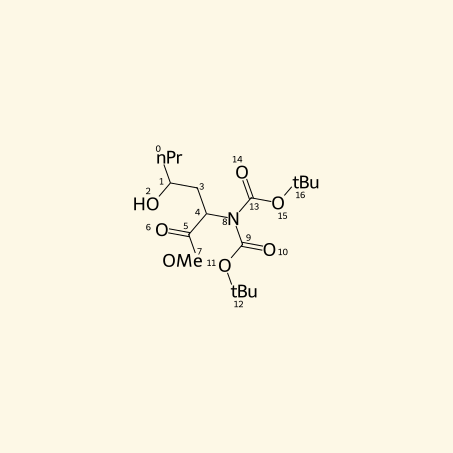 CCCC(O)CC(C(=O)OC)N(C(=O)OC(C)(C)C)C(=O)OC(C)(C)C